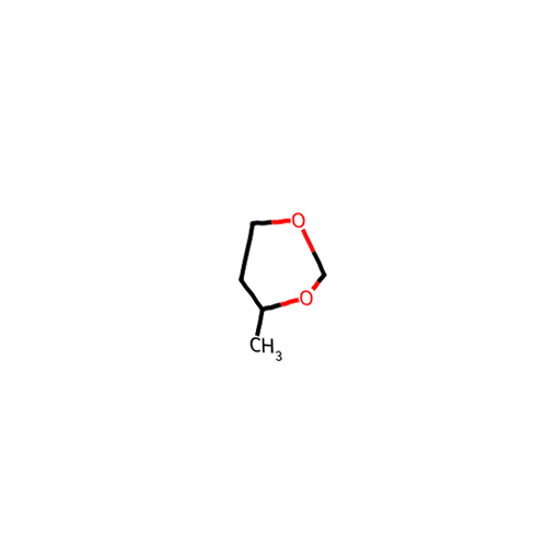 CC1CCOCO1